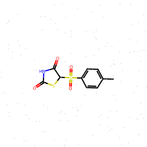 Cc1ccc(S(=O)(=O)C2SC(=O)NC2=O)cc1